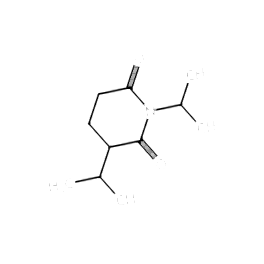 CC(C)C1CCC(=O)N(C(C)C)C1=O